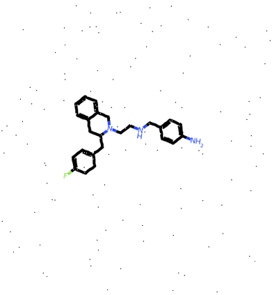 Nc1ccc(CNCCN2Cc3ccccc3CC2CC2=CC=C(F)CC2)cc1